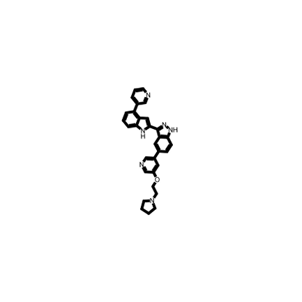 c1cncc(-c2cccc3[nH]c(-c4n[nH]c5ccc(-c6cncc(OCCN7CCCC7)c6)cc45)cc23)c1